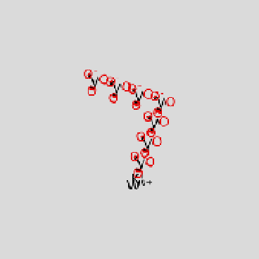 [K+].[O]=[V](=[O])[O-].[O]=[V](=[O])[O-].[O]=[V](=[O])[O-].[O]=[V](=[O])[O-].[O]=[V](=[O])[O-].[O]=[V](=[O])[O-].[O]=[V](=[O])[O-].[W+6]